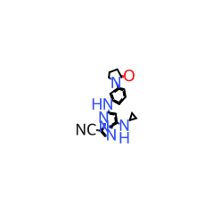 N#Cc1cnc2c(NC3CC3)cc(Nc3cccc(N4CCCC4=O)c3)nn12